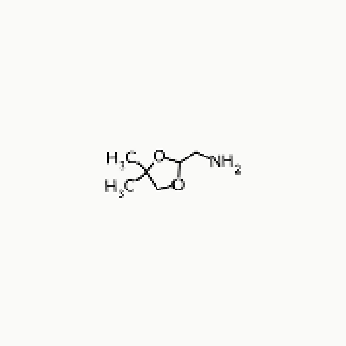 CC1(C)COC(CN)O1